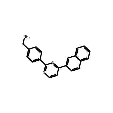 NCc1ccc(-c2nccc(-c3ccc4ccccc4c3)n2)cc1